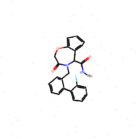 CC(C)(C)NC(=O)C1c2ccccc2OCC(=O)N1Cc1ccccc1-c1ccccc1F